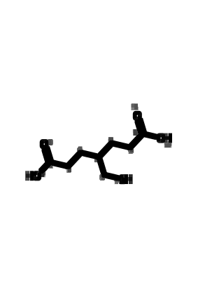 O=C(O)CCC(CS)CCC(=O)O